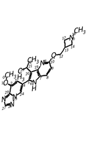 COc1cc(-c2[nH]c3ccc(OCC4CN(C)C4)nc3c2C(C)C)cn2ncnc12